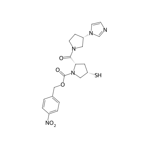 O=C([C@@H]1C[C@H](S)CN1C(=O)OCc1ccc([N+](=O)[O-])cc1)N1CC[C@H](n2ccnc2)C1